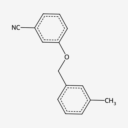 Cc1cccc(COc2cccc(C#N)c2)c1